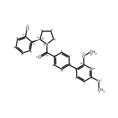 COc1ccc(-c2ccc(C(=O)N3CCC[C@@H]3c3ccccc3Cl)cc2)c(OC)n1